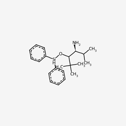 CC(C)[C@H](N)C(O[SiH](c1ccccc1)c1ccccc1)C(C)(C)C